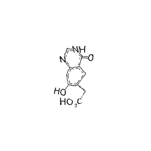 O=C(O)Cc1cc2c(=O)[nH]cnc2cc1O